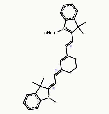 CCCCCCC[N+]1=C(/C=C/C2=CC(=C/C=C3/N(C)c4ccccc4C3(C)C)/CCC2)C(C)(C)c2ccccc21